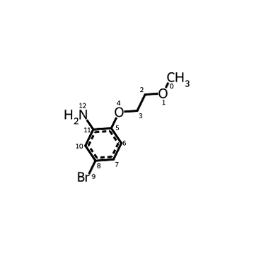 COCCOc1ccc(Br)cc1N